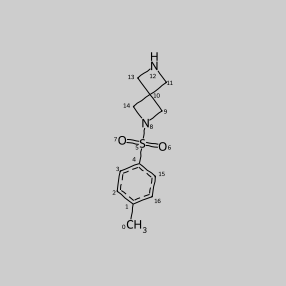 Cc1ccc(S(=O)(=O)N2CC3(CNC3)C2)cc1